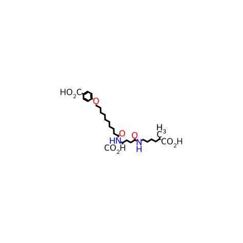 C[C@@H](CCCCNC(=O)CCC(NC(=O)CCCCCCCCCOc1ccc(C(=O)O)cc1)C(=O)O)C(=O)O